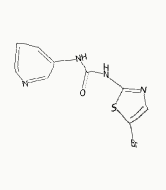 O=C(Nc1cccnc1)Nc1ncc(Br)s1